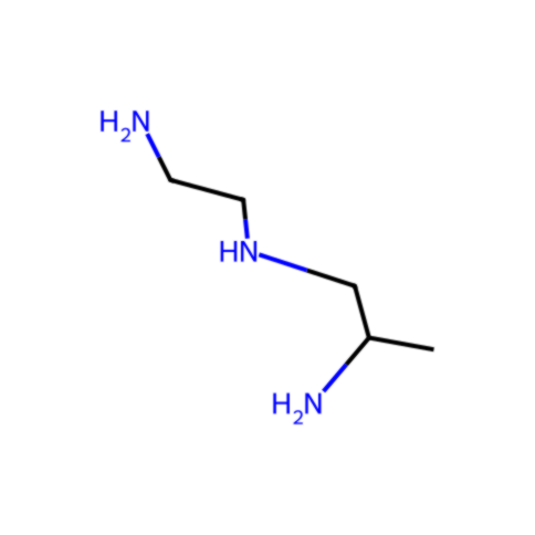 CC(N)CNCCN